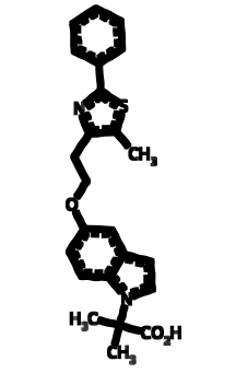 Cc1sc(-c2ccccc2)nc1CCOc1ccc2c(ccn2C(C)(C)C(=O)O)c1